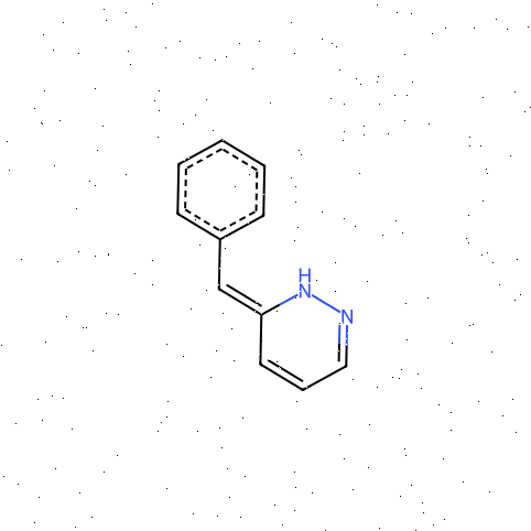 C1=CC(=Cc2ccccc2)NN=C1